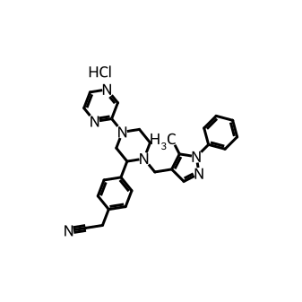 Cc1c(CN2CCN(c3cnccn3)CC2c2ccc(CC#N)cc2)cnn1-c1ccccc1.Cl